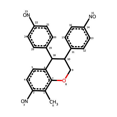 Cc1c(N=O)ccc2c1OCC(c1ccc(N=O)cc1)C2c1ccc(N=O)cc1